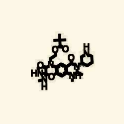 CNc1cc2c(cc1C(=O)N(C(C)C)[C@@H]1CCCNC1)N(CCOC(=O)C(C)(C)C)C(=O)C(NC)(NC)O2